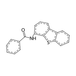 O=C(Nc1cccc2c1sc1ccccc12)c1ccccc1